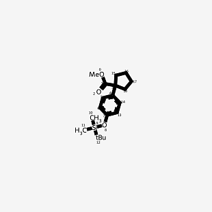 COC(=O)C1(c2ccc(O[Si](C)(C)C(C)(C)C)cc2)CCCC1